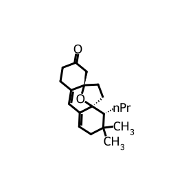 CCC[C@@H]1C(C)(C)CC=C2C=C3CCC(=O)C[C@]34CC[C@@]21O4